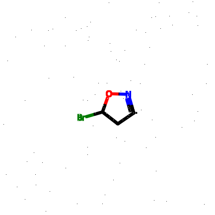 BrC1C[C]=NO1